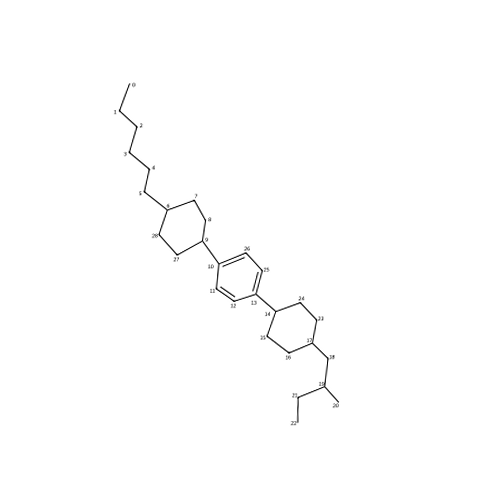 CCCCCCC1CCC(c2ccc(C3CCC(CC(C)CC)CC3)cc2)CC1